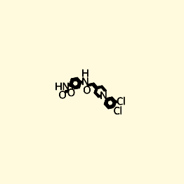 O=C(C=C1CCN(c2ccc(Cl)c(Cl)c2)CC1)Nc1ccc2[nH]c(=O)oc2c1